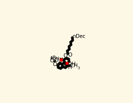 CCCCCCCCCCCCCCCCCC(=O)OC1=CC[C@@]2(O)[C@H]3Cc4ccc(OC(=O)OC(C)(C)C)c5c4[C@@]2(CCN3C)[C@H]1O5